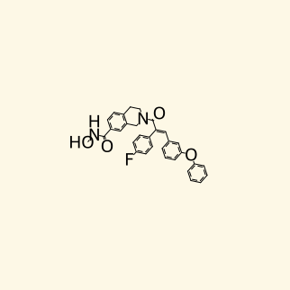 O=C(NO)c1ccc2c(c1)CN(C(=O)C(=Cc1cccc(Oc3ccccc3)c1)c1ccc(F)cc1)CC2